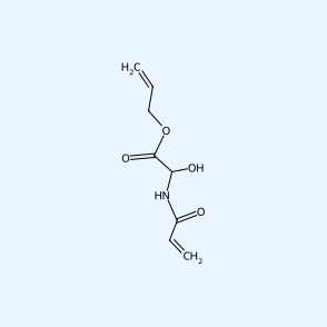 C=CCOC(=O)C(O)NC(=O)C=C